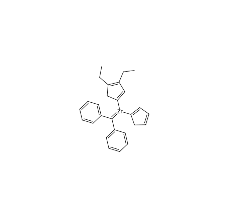 CCC1=C(CC)C[C]([Zr]([C]2=CC=CC2)=[C](c2ccccc2)c2ccccc2)=C1